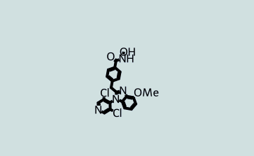 COc1cccc2c1nc(Cc1ccc(C(=O)NO)cc1)n2-c1c(Cl)cncc1Cl